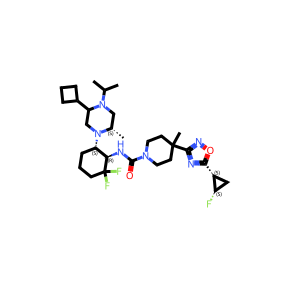 CC(C)N1C[C@H](C)N([C@H]2CCCC(F)(F)[C@@H]2NC(=O)N2CCC(C)(c3noc([C@@H]4C[C@@H]4F)n3)CC2)CC1C1CCC1